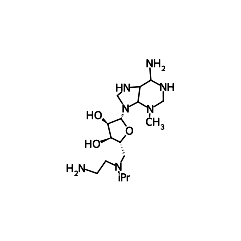 CC(C)N(CCN)C[C@H]1O[C@@H](N2CNC3C(N)NCN(C)C32)[C@H](O)[C@@H]1O